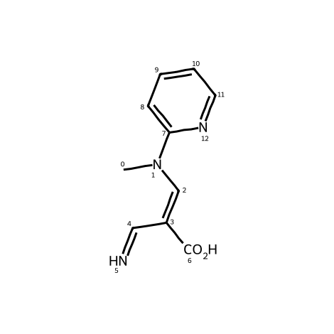 CN(/C=C(\C=N)C(=O)O)c1ccccn1